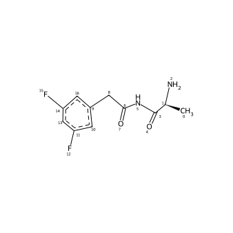 C[C@H](N)C(=O)NC(=O)Cc1cc(F)cc(F)c1